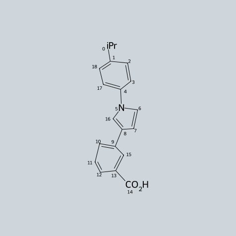 CC(C)c1ccc(-n2ccc(-c3cccc(C(=O)O)c3)c2)cc1